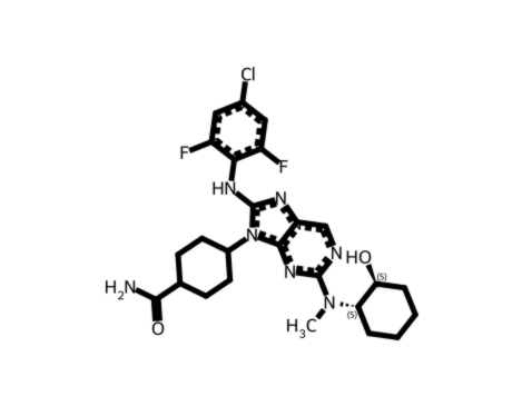 CN(c1ncc2nc(Nc3c(F)cc(Cl)cc3F)n(C3CCC(C(N)=O)CC3)c2n1)[C@H]1CCCC[C@@H]1O